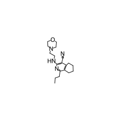 CCCc1nc(NCCN2CCOCC2)c(C#N)c2c1CCCC2